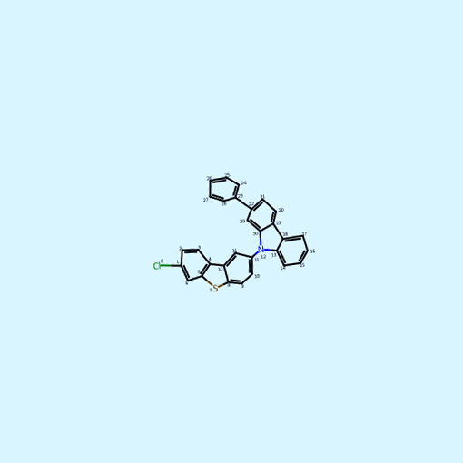 Clc1ccc2c(c1)sc1ccc(-n3c4ccccc4c4ccc(-c5ccccc5)cc43)cc12